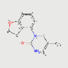 C=C(C)CN(C(N)=O)c1cccc2c1CCO2